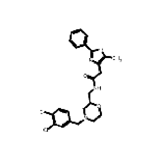 Cc1oc(-c2ccccc2)nc1CC(=O)NCC1CN(Cc2ccc(Cl)c(Cl)c2)CCO1